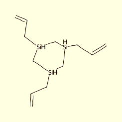 C=CC[SiH]1C[SiH](CC=C)C[SiH](CC=C)C1